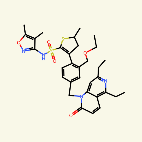 CCOCc1cc(Cn2c(=O)ccc3c(CC)nc(CC)cc32)ccc1C1=C(S(=O)(=O)Nc2noc(C)c2C)SC(C)C1